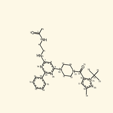 CC(=O)NCCNc1cc(N2CCN(C(=O)c3cc(C)nn3C(C)(C)C)CC2)nc(-c2ccccc2)n1